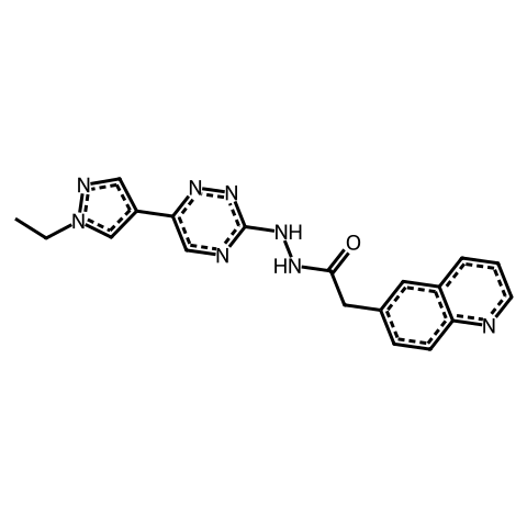 CCn1cc(-c2cnc(NNC(=O)Cc3ccc4ncccc4c3)nn2)cn1